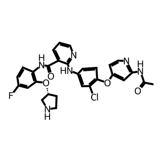 CC(=O)Nc1cc(Oc2ccc(Nc3ncccc3C(=O)Nc3ccc(F)cc3O[C@@H]3CCNC3)cc2Cl)ccn1